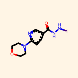 O=C(NNI)c1ccc(N2CCOCC2)nc1